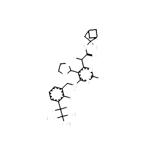 Cc1nc(NCc2cccc(C(F)(F)C(C)(C)O)c2F)c(C2OCCO2)c(C(F)C(=O)N[C@@H]2CC3CC2C3)n1